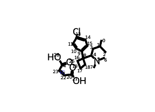 CC(C)CC(N(C)C)C1(c2ccc(Cl)cc2)CCC1.O=C(O)/C=C\C(=O)O